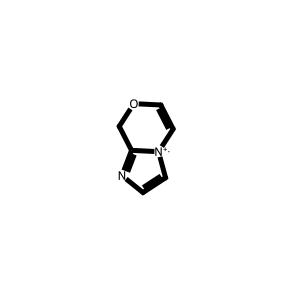 C1=C[N+]2C=COCC2=N1